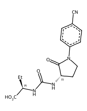 CC[C@@H](NC(=O)N[C@H]1CCN(c2ccc(C#N)cc2)C1=O)C(=O)O